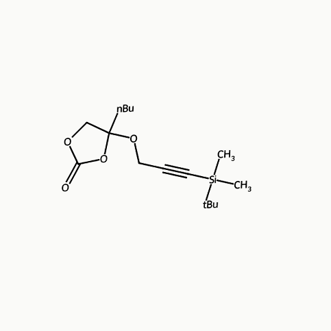 CCCCC1(OCC#C[Si](C)(C)C(C)(C)C)COC(=O)O1